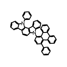 c1ccc(-c2ccc(-n3c4ccccc4c4c3ccc3c5ccccc5n(-c5ccccc5)c34)c3c4ccccc4c4ccccc4c23)cc1